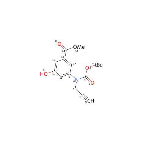 C#CCN(C(=O)OC(C)(C)C)c1cc(O)cc(C(=O)OC)c1